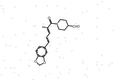 C/C(=C\C=C\c1ccc2c(c1)OCO2)C(=O)N1CCC(C=O)CC1